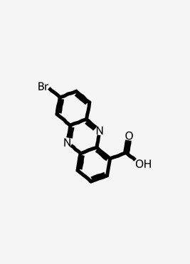 O=C(O)c1cccc2nc3cc(Br)ccc3nc12